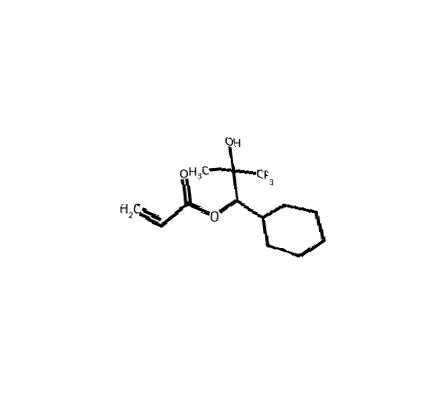 C=CC(=O)OC(C1CCCCC1)C(C)(O)C(F)(F)F